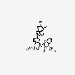 COc1ccc(-c2cc3cc(F)c(F)cc3[nH]2)cc1N(S)C(=O)N[C@@H](C)c1ccccc1